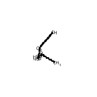 C#CC#CC#CC#CC#CC#CC(=O)OC[C@H](COP(=O)(O)O)OC(=O)CCCCCCCCCC